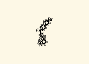 O=C(C1CN(S(=O)(=O)c2cccc3nonc23)C1)N1CCN(c2ccc(Br)cn2)CC1